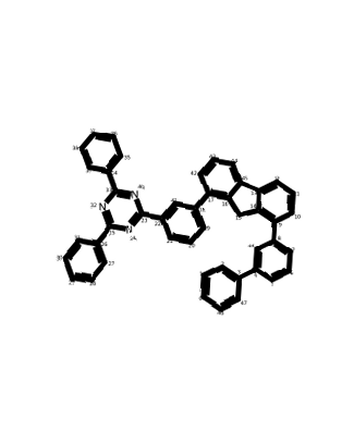 c1ccc(-c2cccc(-c3cccc4c3Cc3c(-c5cccc(-c6nc(-c7ccccc7)nc(-c7ccccc7)n6)c5)cccc3-4)c2)cc1